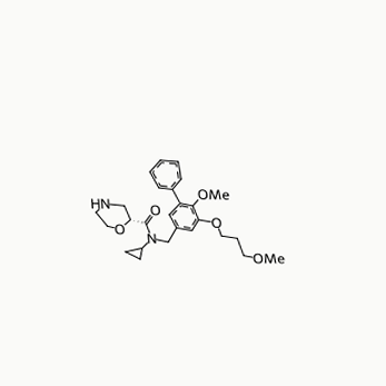 COCCCOc1cc(CN(C(=O)[C@H]2CNCCO2)C2CC2)cc(-c2ccccc2)c1OC